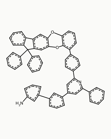 Nc1cccc(-c2cccc(-c3cc(-c4ccccc4)nc(-c4ccc(-c5cccc6c5Oc5cc7c(cc5O6)-c5ccccc5C7(c5ccccc5)c5ccccc5)cc4)c3)c2)c1